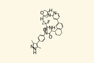 Cc1n[nH]c(C)c1-c1ccc(NC(=O)[C@@H](NC(=O)C2(F)CC2)[C@@H]2CCCc3ccc(-c4ccnc(N5C[C@H]6C[C@@H]5CO6)c4)cc32)cc1